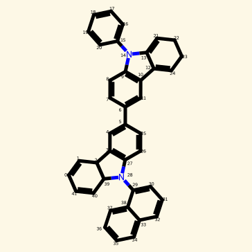 C1=CC2c3cc(-c4ccc5c(c4)c4c(n5-c5ccccc5)=CCCC=4)ccc3N(c3cccc4ccccc34)C2C=C1